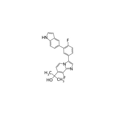 CC(C)(O)c1ccn2c(-c3ccc(F)c(-c4ccc5[nH]ccc5c4)c3)cnc2c1F